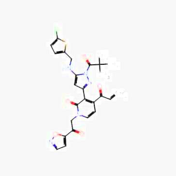 C=CC(=O)c1ccn(CC(=O)c2ccno2)c(=O)c1-c1cc(NCc2ccc(Cl)s2)n(C(=O)C(C)(C)C)n1